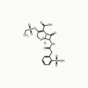 CCS(=O)(=O)OC1=C(C(=O)O)N2C(=O)C(NC(=O)Cc3ccccc3S(=O)(=O)O)[C@H]2SC1